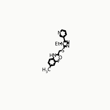 CCn1c(SCC(=O)Nc2ccc(C)cc2F)nnc1-c1cccnc1